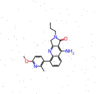 CCCN1Cc2nc3c(-c4ccc(OC)nc4C)cccc3c(N)c2C1=O